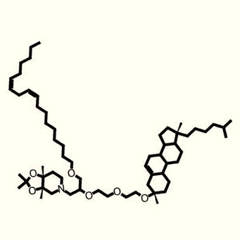 CCCCC/C=C\C/C=C\CCCCCCCCOCC(CN1CC[C@@]2(C)OC(C)(C)O[C@@]2(C)C1)OCCOCCO[C@@]1(C)CCC2C(=CCC3C2CCC2C3CC[C@]2(C)CCCCC(C)C)C1